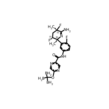 BC(B)(B)Oc1cnc(C(=O)Nc2ccc(F)c([C@@]3(C)N=C(N)[C@@](C)(F)C[C@@H]3F)c2)cn1